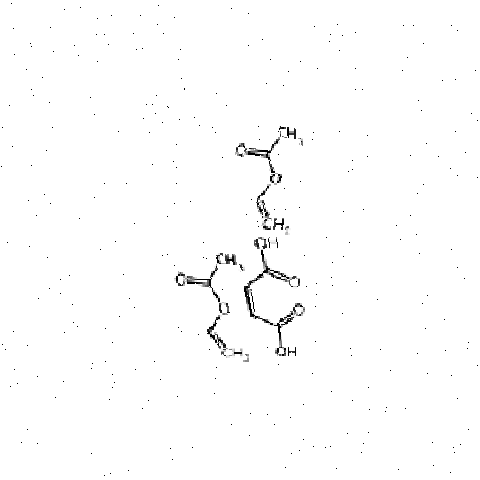 C=COC(C)=O.C=COC(C)=O.O=C(O)/C=C\C(=O)O